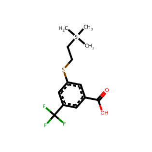 C[Si](C)(C)CCSc1cc(C(=O)O)cc(C(F)(F)F)c1